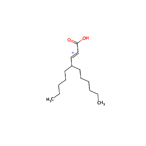 CCCCCCC(/C=C/C(=O)O)CCCCC